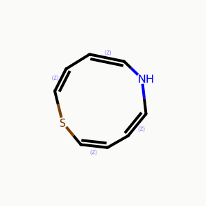 C1=C\N/C=C\C=C/S\C=C/1